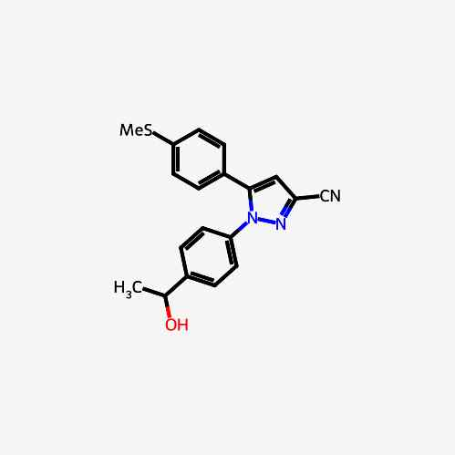 CSc1ccc(-c2cc(C#N)nn2-c2ccc(C(C)O)cc2)cc1